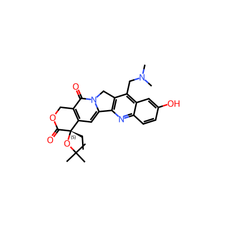 CC[C@@]1(OC(C)(C)C)C(=O)OCc2c1cc1n(c2=O)Cc2c-1nc1ccc(O)cc1c2CN(C)C